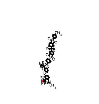 CC1=Nc2ccc(Oc3ccc4c(c3)C(C(F)(F)F)(C(F)(F)F)OC(c3ccc(N5C(=O)c6ccc(C(c7ccc8c(c7)C(=O)N(c7ccc(C)cc7)C8=O)(C(F)(F)F)C(F)(F)F)cc6C5=O)cc3)=N4)cc2C(C(F)(F)F)(C(F)(F)F)O1